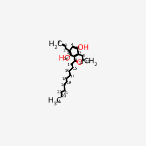 C=CCc1cc(O)c(CC=C)c(C(=O)CCCCCCCCCCC)c1O